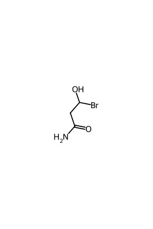 NC(=O)CC(O)Br